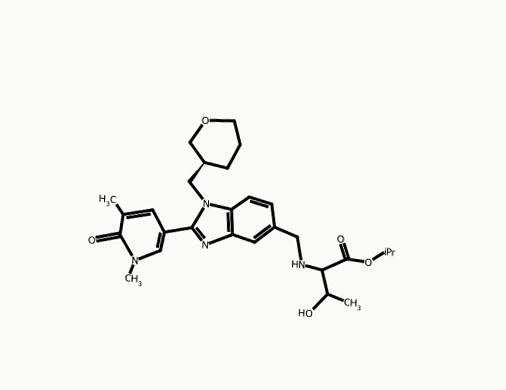 Cc1cc(-c2nc3cc(CNC(C(=O)OC(C)C)C(C)O)ccc3n2C[C@@H]2CCCOC2)cn(C)c1=O